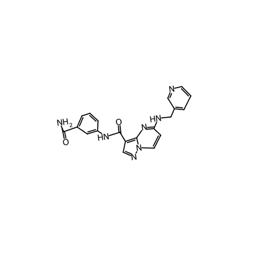 NC(=O)c1cccc(NC(=O)c2cnn3ccc(NCc4cccnc4)nc23)c1